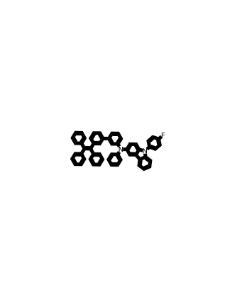 Fc1ccc(-n2c3ccccc3c3cc(N(c4ccccc4)c4cccc(-c5cccc(C(=C(c6ccccc6)c6ccccc6)c6ccccc6)c5)c4)ccc32)cc1